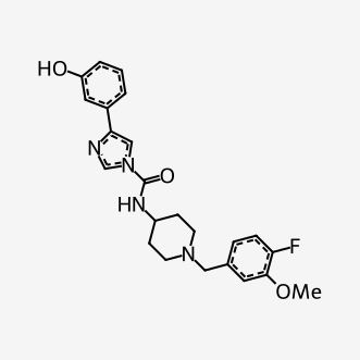 COc1cc(CN2CCC(NC(=O)n3cnc(-c4cccc(O)c4)c3)CC2)ccc1F